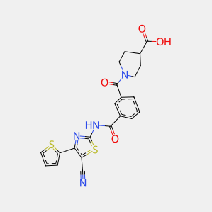 N#Cc1sc(NC(=O)c2cccc(C(=O)N3CCC(C(=O)O)CC3)c2)nc1-c1cccs1